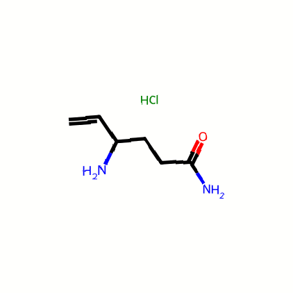 C=CC(N)CCC(N)=O.Cl